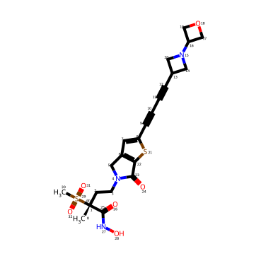 C[C@@](CCN1Cc2cc(C#CC#CC3CN(C4COC4)C3)sc2C1=O)(C(=O)NO)S(C)(=O)=O